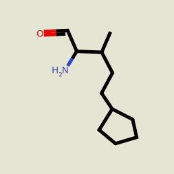 CC(CCC1CCCC1)C(N)C=O